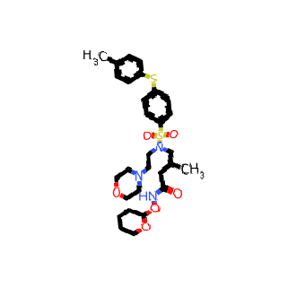 Cc1ccc(Sc2ccc(S(=O)(=O)N(CCN3CCOCC3)CC(C)CC(=O)NOC3CCCCO3)cc2)cc1